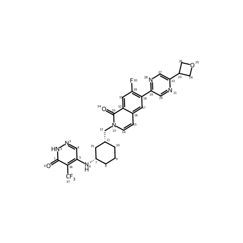 O=c1[nH]ncc(N[C@H]2CCC[C@@H](Cn3ccc4cc(-c5cnc(C6COC6)cn5)c(F)cc4c3=O)C2)c1C(F)(F)F